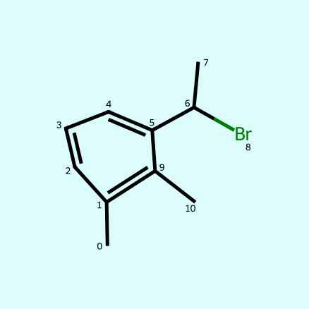 Cc1cccc(C(C)Br)c1C